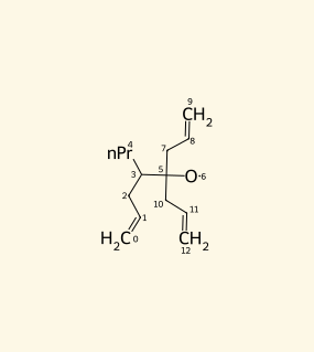 C=CCC(CCC)C([O])(CC=C)CC=C